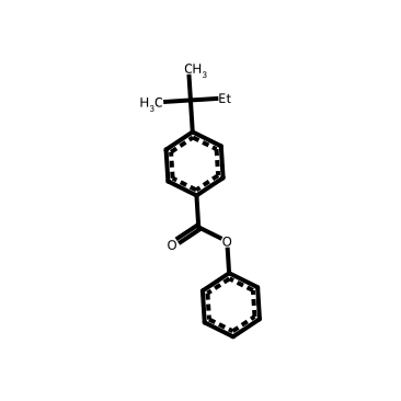 CCC(C)(C)c1ccc(C(=O)Oc2ccccc2)cc1